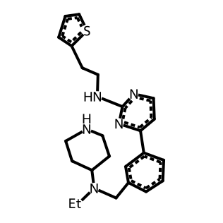 CCN(Cc1cccc(-c2ccnc(NCCc3cccs3)n2)c1)C1CCNCC1